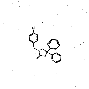 CC1CC(c2ccccc2)(c2ccccc2)CN1Cc1ccc(Cl)cc1